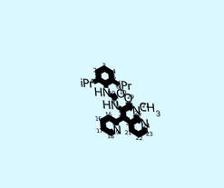 CC(C)c1cccc(C(C)C)c1NC(=O)Nc1c(-c2ccccn2)c2cccnc2n(C)c1=O